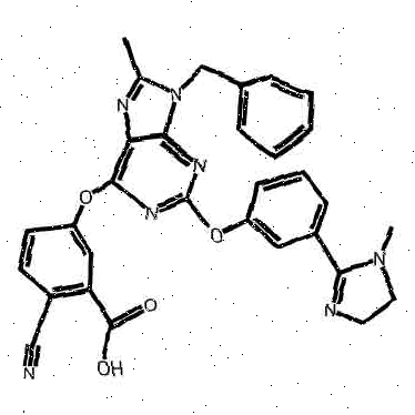 Cc1nc2c(Oc3ccc(C#N)c(C(=O)O)c3)nc(Oc3cccc(C4=NCCN4C)c3)nc2n1Cc1ccccc1